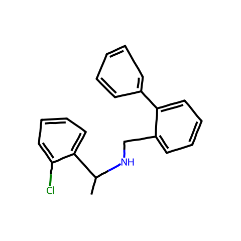 CC(NCc1ccccc1-c1ccccc1)c1ccccc1Cl